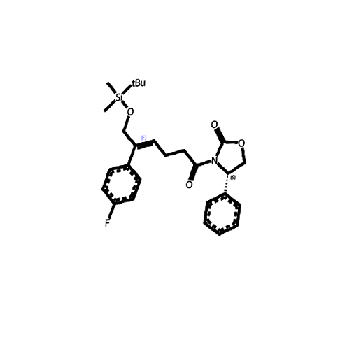 CC(C)(C)[Si](C)(C)OC/C(=C/CCC(=O)N1C(=O)OC[C@@H]1c1ccccc1)c1ccc(F)cc1